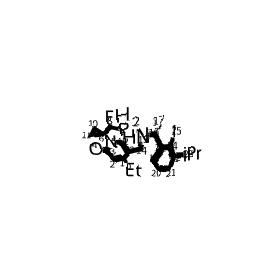 CCc1cc(=O)n(C2(C(F)P)CC2)cc1CN[C@H](C)c1cccc(C(C)C)c1I